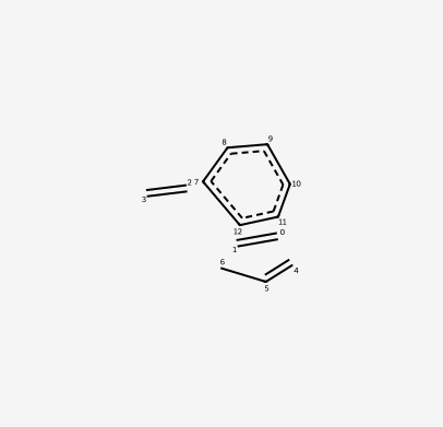 C=C.C=C.C=CC.c1ccccc1